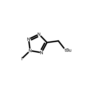 CC(C)(C)Cc1nnn(I)n1